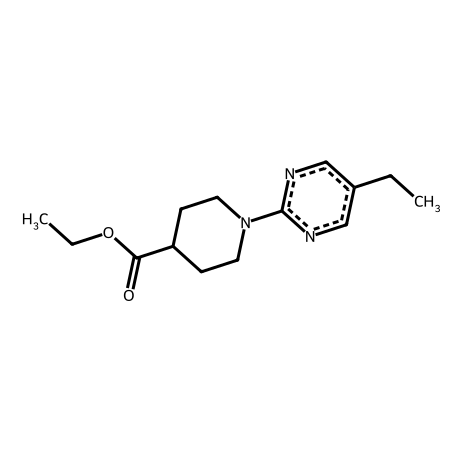 CCOC(=O)C1CCN(c2ncc(CC)cn2)CC1